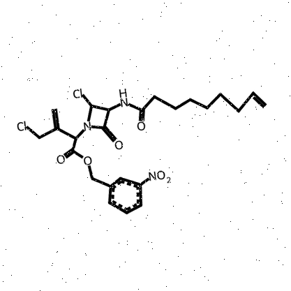 C=CCCCCCCC(=O)NC1C(=O)N(C(C(=C)CCl)C(=O)OCc2cccc([N+](=O)[O-])c2)C1Cl